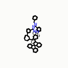 CN/C(=N\C(=N/Cc1ccccc1)c1ccccc1)c1cccc(C2=CC(c3cc4c(c5ccccc35)-c3ccccc3C43c4ccccc4-c4ccccc43)=CCC=C2)c1